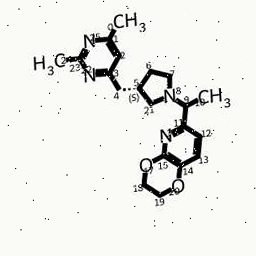 Cc1cc(C[C@@H]2CCN(C(C)c3ccc4c(n3)OCCO4)C2)nc(C)n1